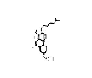 CC(C)CCC[C@@H](C)[C@H]1CC[C@H]2[C@@H]3C[C@@H](F)C4=C/C(=N/O)CC[C@]4(C)[C@H]3CC[C@]12C